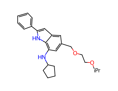 CC(C)OCCOCc1cc(NC2CCCC2)c2[nH]c(-c3ccccc3)cc2c1